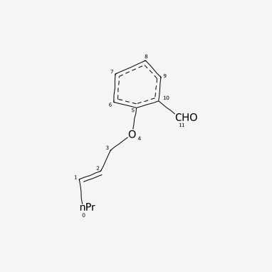 CCCC=CCOc1ccccc1C=O